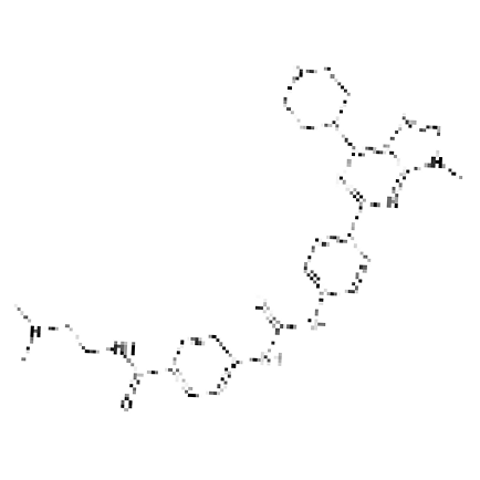 CN(C)CCNC(=O)c1ccc(NC(=O)Nc2ccc(-c3nc(N4CCOCC4)c4nnn(C)c4n3)cc2)cc1